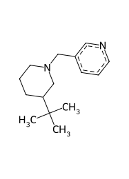 CC(C)(C)C1CCCN(Cc2cccnc2)C1